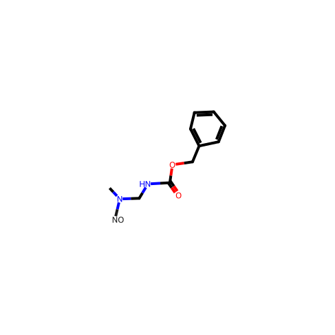 CN(CNC(=O)OCc1ccccc1)N=O